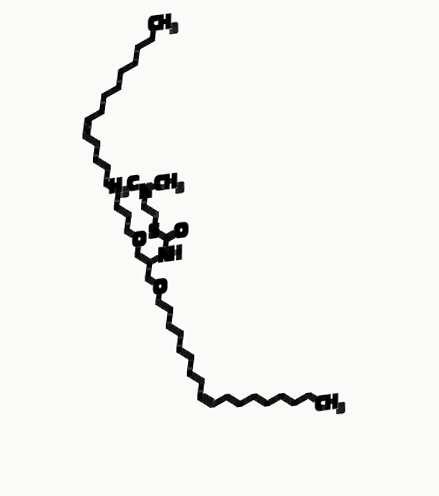 CCCCCCCC/C=C\CCCCCCCCOCC(COCCCCCCCC/C=C\CCCCCCCC)NC(=O)SCCN(C)C